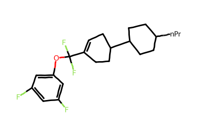 CCCC1CCC(C2CC=C(C(F)(F)Oc3cc(F)cc(F)c3)CC2)CC1